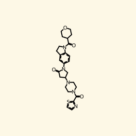 O=C(c1nccs1)N1CCN(C2CC(=O)N(c3ccc4c(c3)CCN4C(=O)C3CCOCC3)C2)CC1